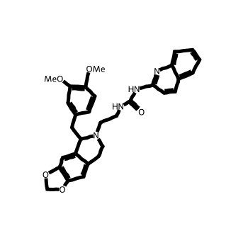 COc1ccc(CC2c3cc4c(cc3CCN2CCNC(=O)Nc2ccc3ccccc3n2)OCO4)cc1OC